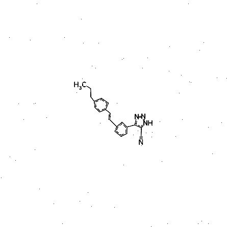 CCCc1ccc(/C=C/c2cccc(-c3nn[nH]c3C#N)c2)cc1